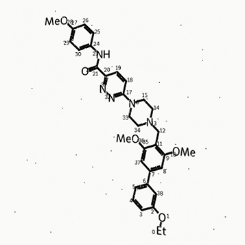 CCOc1cccc(-c2cc(OC)c(CN3CCN(c4ccc(C(=O)Nc5ccc(OC)cc5)nn4)CC3)c(OC)c2)c1